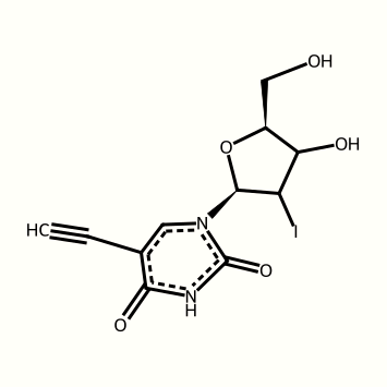 C#Cc1cn([C@H]2O[C@@H](CO)C(O)C2I)c(=O)[nH]c1=O